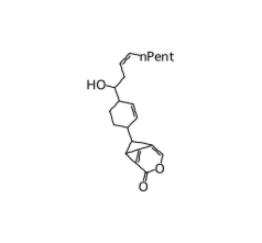 CCCCC/C=C\CC(O)C1C=CC(C2c3coc(=O)c4c3C42)CC1